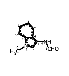 Cn1cc(NC=O)c2ccccc21